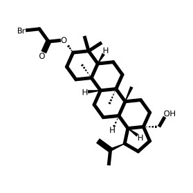 C=C(C)[C@@H]1CC[C@]2(CO)CC[C@]3(C)[C@H](CC[C@@H]4[C@@]5(C)CC[C@H](OC(=O)CBr)C(C)(C)[C@@H]5CC[C@]43C)[C@@H]12